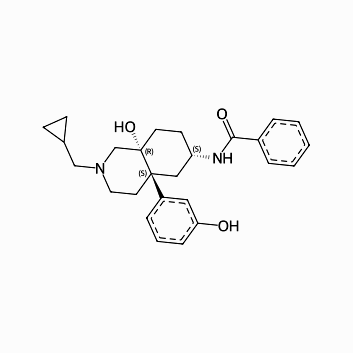 O=C(N[C@H]1CC[C@]2(O)CN(CC3CC3)CC[C@@]2(c2cccc(O)c2)C1)c1ccccc1